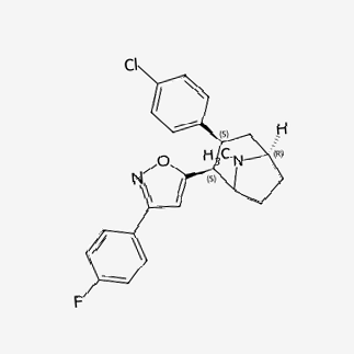 CN1C2CC[C@@H]1C[C@H](c1ccc(Cl)cc1)[C@@H]2c1cc(-c2ccc(F)cc2)no1